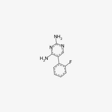 Nc1ncc(-c2ccccc2F)c(N)n1